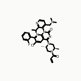 C=CC(=O)N1C[C@H](C)N(c2nc(=O)n(-c3c(CN(C)C)ccnc3C(C)C)c3nc(-c4ccccc4F)c(Cl)cc23)C[C@H]1C